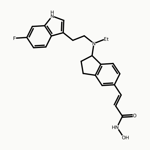 CCN(CCc1c[nH]c2cc(F)ccc12)C1CCc2cc(C=CC(=O)NO)ccc21